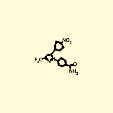 NC(=O)c1ccc(-n2nc(C(F)(F)F)cc2-c2ccc([N+](=O)[O-])cc2)cc1